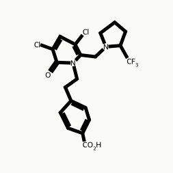 O=C(O)c1ccc(CCn2c(CN3CCCC3C(F)(F)F)c(Cl)cc(Cl)c2=O)cc1